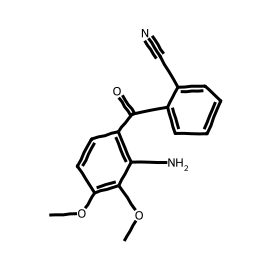 COc1ccc(C(=O)c2ccccc2C#N)c(N)c1OC